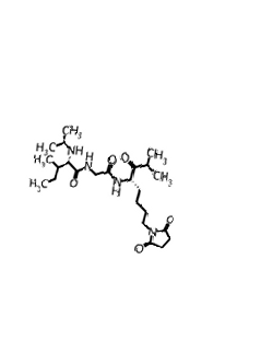 CCC(C)[C@H](NC(C)C)C(=O)NCC(=O)N[C@@H](CCCCN1C(=O)CCC1=O)C(=O)C(C)C